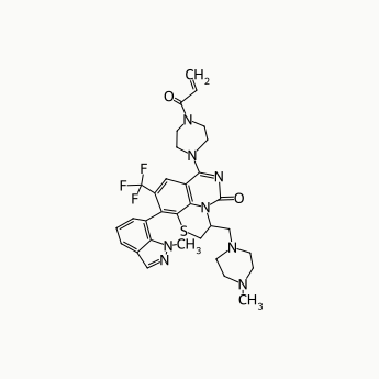 C=CC(=O)N1CCN(c2nc(=O)n3c4c(c(-c5cccc6cnn(C)c56)c(C(F)(F)F)cc24)SCC3CN2CCN(C)CC2)CC1